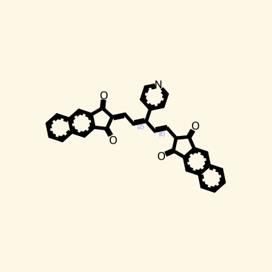 O=C1C(=C/C=C(/C=C/C2C(=O)c3cc4ccccc4cc3C2=O)c2ccncc2)C(=O)c2cc3ccccc3cc21